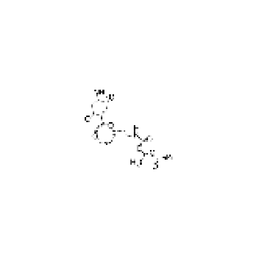 CC(OC(=O)NCCc1cccocc(C2=CC(=O)C(N)CC2=O)o1)OC(=O)C(C)C